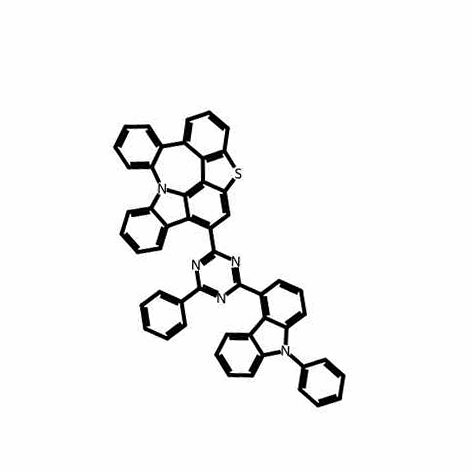 c1ccc(-c2nc(-c3cccc4c3c3ccccc3n4-c3ccccc3)nc(-c3cc4sc5cccc6c7ccccc7n7c8ccccc8c3c7c4c56)n2)cc1